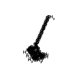 CC[C@H](C)[C@@H]([C@@H](CC(=O)N1CCC[C@H]1[C@H](OC)[C@@H](C)C(=O)N[C@H](C)[C@@H](O)c1ccccc1)OC)N(C)C(=O)[C@@H](NC(=O)[C@H](C(C)C)N(C)C(=O)OCc1ccc(O[C@@H]2O[C@H](C(=O)O)[C@@H](O)[C@H](O)[C@H]2O)c(CNC(=O)CCNC(=O)COC2(CNC(=O)CCN3C(=O)C=CC3=O)CN(C(=O)CCOCCOCCOCCOCCOCCOCCOCCOCCOCCOCCOCCOC)C2)c1)C(C)C